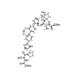 COC(=O)N[C@H](C(=O)N1CCC[C@H]1c1ncc(-c2ccc3c(c2)COCc2cc(-c4cnc([C@@H]5C[C@H]6CCC(C6)N5C(=O)[C@@H](NC(=O)OC)C(C)C)[nH]4)ccc2-3)[nH]1)C(C)C